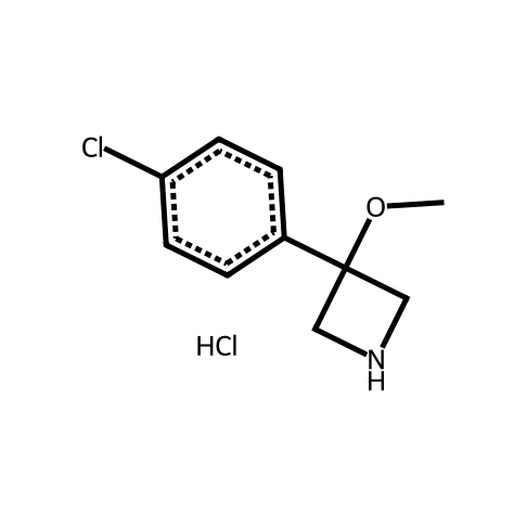 COC1(c2ccc(Cl)cc2)CNC1.Cl